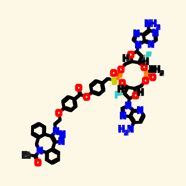 B[P@@]1(=O)OC[C@H]2O[C@@H](n3cnc4c(N)ccnc43)[C@H](F)[C@@H]2O[P@@](=O)(SCc2ccc(OC(=O)c3ccc(OCCn4nnc5c4-c4ccccc4CN(C(=O)CC)c4ccccc4-5)cc3)cc2)OC[C@H]2O[C@@H](n3cnc4c(N)ncnc43)[C@H](F)[C@@H]2O1